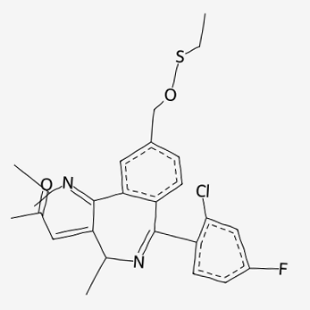 CCSOCc1ccc2c(c1)C(=N/C(C)C)/C(=C\C(C)=O)C(C)N=C2c1ccc(F)cc1Cl